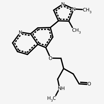 CNCC(CC=O)COc1cc(-c2cnn(C)c2C)cc2ncccc12